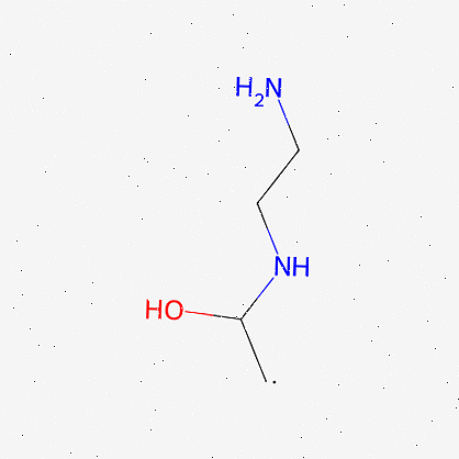 [CH2]C(O)NCCN